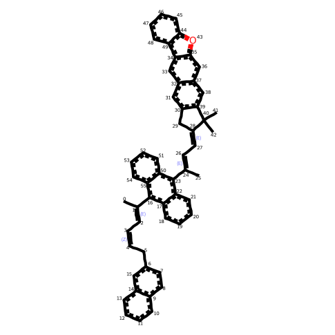 C/C(=C\C=C/Cc1ccc2ccccc2c1)c1c2ccccc2c(/C(C)=C/C=C2\Cc3cc4cc5c(cc4cc3C2(C)C)oc2ccccc25)c2ccccc12